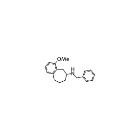 COc1cccc2c1CC(NCc1ccccc1)CCC2